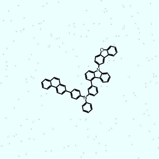 c1ccc(N(c2ccc(-c3ccc4c(ccc5ccccc54)c3)cc2)c2cccc(-c3cccc4c3c3ccccc3n4-c3ccc4oc5ccccc5c4c3)c2)cc1